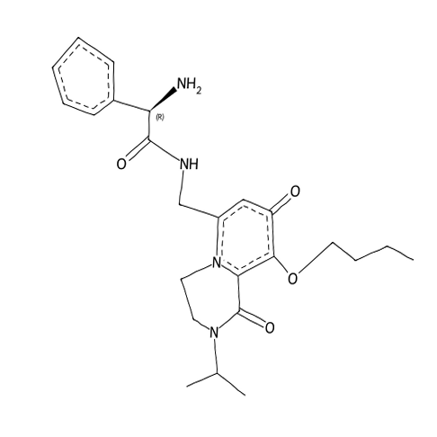 CCCCOc1c2n(c(CNC(=O)[C@H](N)c3ccccc3)cc1=O)CCN(C(C)C)C2=O